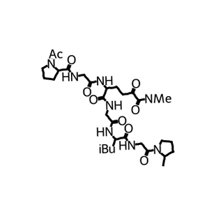 CCC(C)C(NC(=O)CNC(=O)C(CCC(=O)C(=O)NC)NC(=O)CNC(=O)C1CCCN1C(C)=O)C(=O)NCC(=O)N1CCCC1C